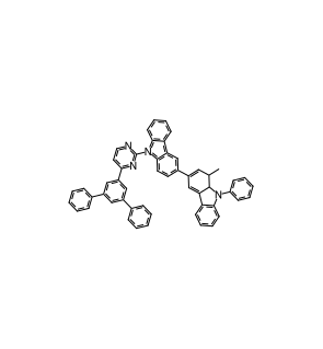 CC1C=C(c2ccc3c(c2)c2ccccc2n3-c2nccc(-c3cc(-c4ccccc4)cc(-c4ccccc4)c3)n2)C=C2c3ccccc3N(c3ccccc3)C21